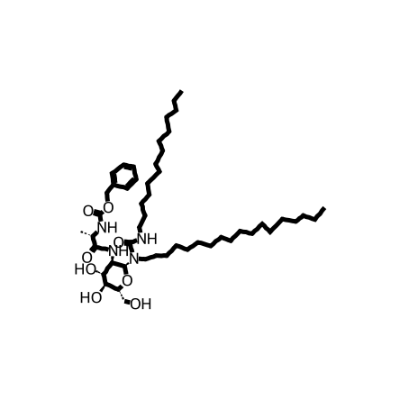 CCCCCCCCCCCCCCCCCCN(C(=O)NCCCCCCCCCCCCCC)[C@@H]1O[C@H](CO)[C@@H](O)[C@H](O)[C@H]1NC(=O)[C@H](C)NC(=O)OCc1ccccc1